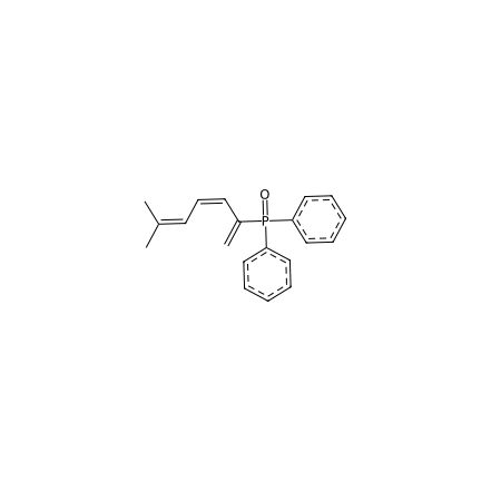 C=C(/C=C\C=C(C)C)P(=O)(c1ccccc1)c1ccccc1